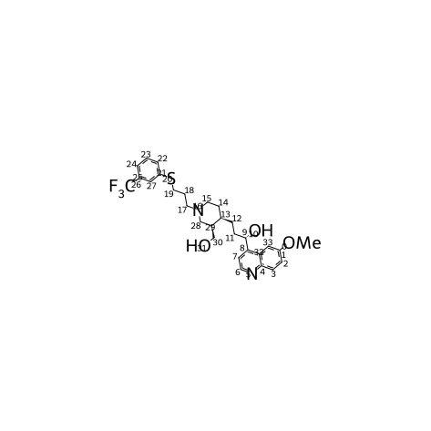 COc1ccc2nccc([C@@H](O)CC[C@@H]3CCN(CCCSc4cccc(C(F)(F)F)c4)C[C@@H]3CO)c2c1